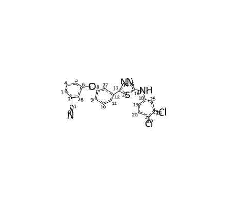 N#Cc1cccc(Oc2cccc(-c3nnc(Nc4ccc(Cl)c(Cl)c4)s3)c2)c1